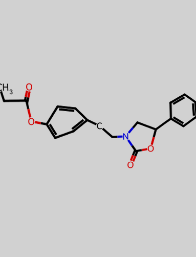 CCC(=O)Oc1ccc(CCN2CC(c3ccccc3)OC2=O)cc1